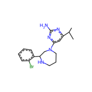 CC(C)c1cc(N2CCCNC(c3ccccc3Br)C2)nc(N)n1